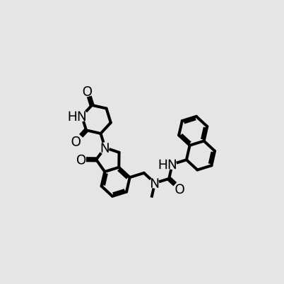 CN(Cc1cccc2c1CN(C1CCC(=O)NC1=O)C2=O)C(=O)NC1CC=Cc2ccccc21